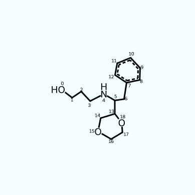 OCCCNC(Cc1ccccc1)C1COCCO1